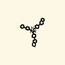 c1ccc(-c2ccc(-c3nc(-c4ccc(-c5ccc6c(c5)CCCC6)cc4)nc(-c4ccc(-c5ccc6ccccc6c5)cc4)n3)cc2)cc1